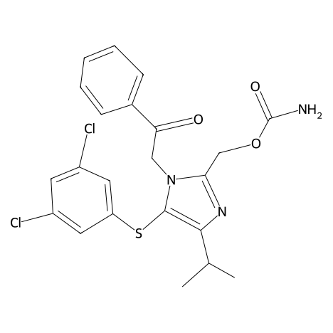 CC(C)c1nc(COC(N)=O)n(CC(=O)c2ccccc2)c1Sc1cc(Cl)cc(Cl)c1